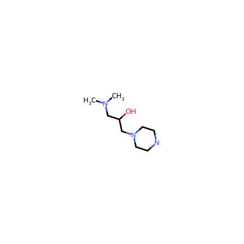 CN(C)CC(O)CN1CC[N]CC1